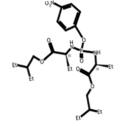 CCC(CC)COC(=O)[C@H](CC)NP(=O)(N[C@@H](CC)C(=O)OCC(CC)CC)Oc1ccc([N+](=O)[O-])cc1